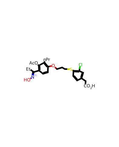 CCCc1c(OCCCSc2ccc(CC(=O)O)cc2Cl)ccc(/C(CC)=N/O)c1OC(C)=O